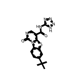 CC(C)(C)c1ccc2c(c1)sc1c(C(=O)Nc3nnn[nH]3)cnc(=O)n12